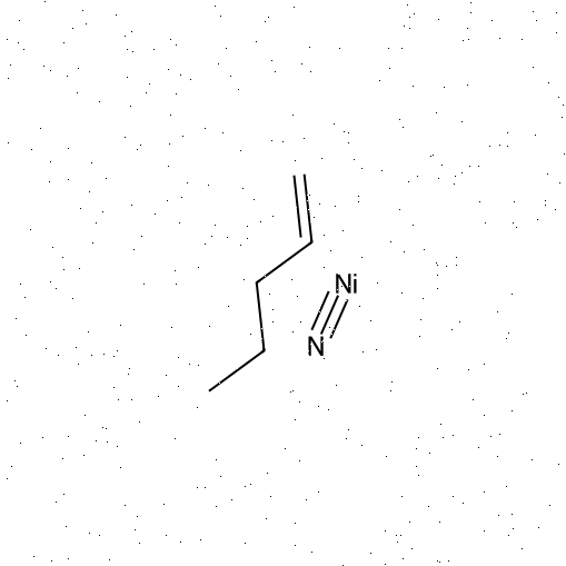 C=CCCC.[N]#[Ni]